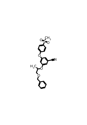 CC(COCc1ccccc1)Oc1cc(C#N)cc(Oc2ccc(S(C)(=O)=O)cc2)c1